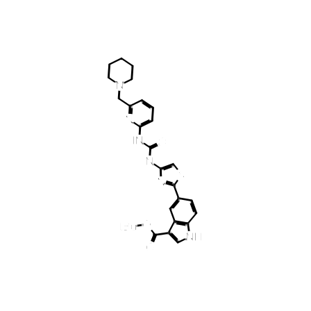 CC(C)(C)OC(=O)c1c[nH]c2ccc(-c3nc(NC(=O)Nc4cccc(CN5CCCCC5)n4)cs3)cc12